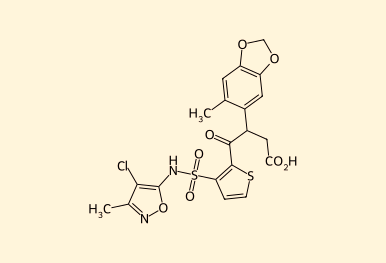 Cc1cc2c(cc1C(CC(=O)O)C(=O)c1sccc1S(=O)(=O)Nc1onc(C)c1Cl)OCO2